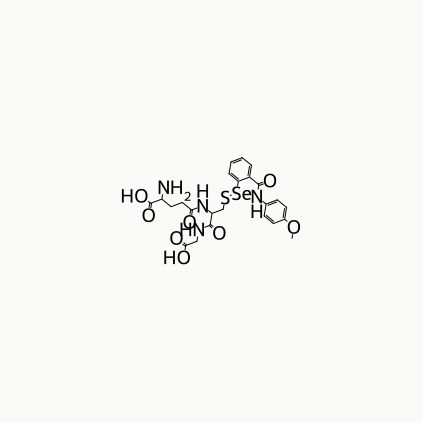 COc1ccc(NC(=O)c2ccccc2[Se]SCC(NC(=O)CCC(N)C(=O)O)C(=O)NCC(=O)O)cc1